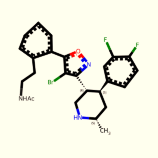 CC(=O)NCCc1ccccc1-c1onc([C@H]2CN[C@@H](C)C[C@@H]2c2ccc(F)c(F)c2)c1Br